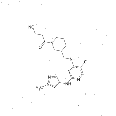 Cn1cc(Nc2ncc(Cl)c(NCC3CCCN(C(=O)CCC#N)C3)n2)cn1